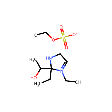 CCOS(=O)(=O)[O-].CC[N+]1=CCNC1(CC)C(C)O